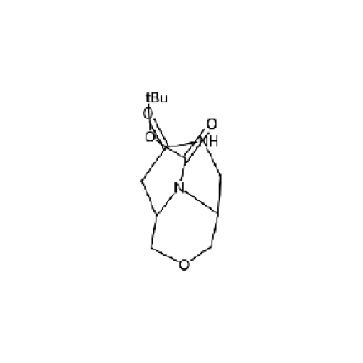 CC(C)(C)OC(=O)N1C2CNC(=O)CC1COC2